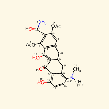 CC(=O)Oc1cc2c(c(OC(C)=O)c1C(N)=O)C(O)=C1C(=O)c3c(O)ccc(N(C)C)c3CC1C2